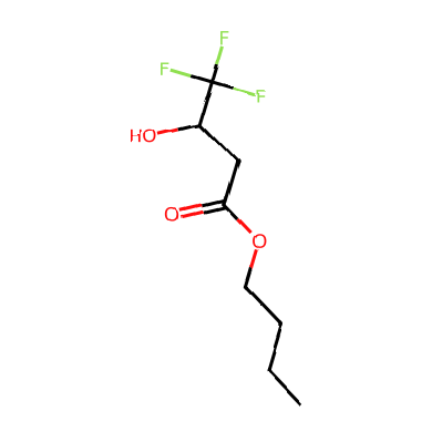 CCCCOC(=O)CC(O)C(F)(F)F